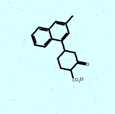 CCOC(=O)C1CCC(c2cc(C)cc3ccccc23)CC1=O